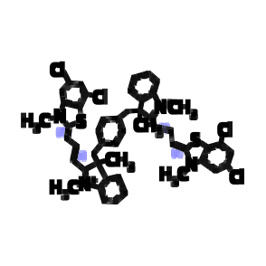 CN1/C(=C/C=C/C2=[N+](C)c3ccccc3C2(C)Cc2ccc(CC3(C)C(/C=C/C=C4\Sc5c(Cl)cc(Cl)cc5N4C)=[N+](C)c4ccccc43)cc2)Sc2c(Cl)cc(Cl)cc21